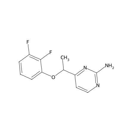 CC(Oc1cccc(F)c1F)c1ccnc(N)n1